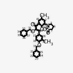 Cc1cc(N2CCCS2(=O)=O)c2oc(-c3ccc(OCc4ccccc4)c(C)c3)c(OCc3ccccc3)c(=O)c2c1